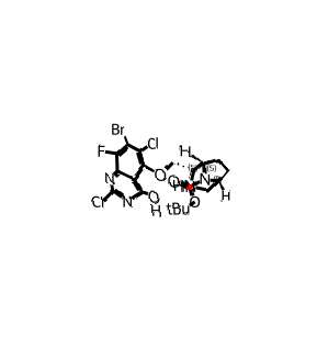 CC(C)(C)OC(=O)N1[C@@H]2CC[C@H]1[C@@H](COc1c(Cl)c(Br)c(F)c3nc(Cl)nc(O)c13)NC2